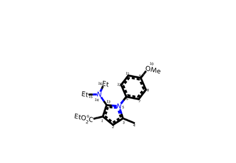 CCOC(=O)c1cc(C)n(-c2ccc(OC)cc2)c1N(CC)CC